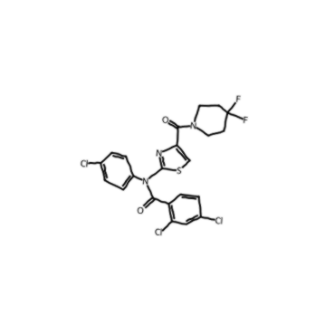 O=C(c1csc(N(C(=O)c2ccc(Cl)cc2Cl)c2ccc(Cl)cc2)n1)N1CCC(F)(F)CC1